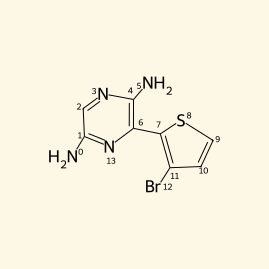 Nc1cnc(N)c(-c2sccc2Br)n1